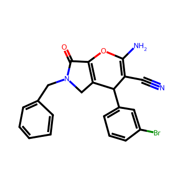 N#CC1=C(N)OC2=C(CN(Cc3ccccc3)C2=O)C1c1cccc(Br)c1